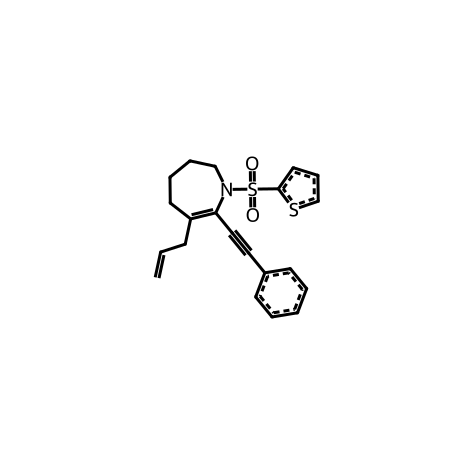 C=CCC1=C(C#Cc2ccccc2)N(S(=O)(=O)c2cccs2)CCCC1